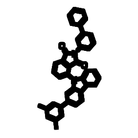 Cc1cc(C)cc(-c2ccc3c4ccccc4n(-c4cccc5c4C(=O)N(c4cccc(-c6ccccc6)c4)C5=O)c3c2)c1